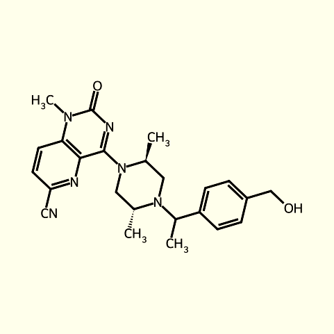 CC(c1ccc(CO)cc1)N1C[C@H](C)N(c2nc(=O)n(C)c3ccc(C#N)nc23)C[C@H]1C